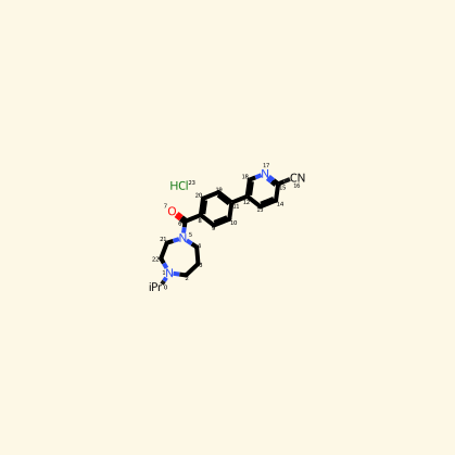 CC(C)N1CCCN(C(=O)c2ccc(-c3ccc(C#N)nc3)cc2)CC1.Cl